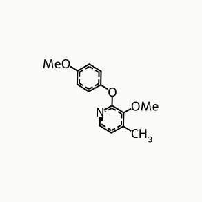 COc1ccc(Oc2nccc(C)c2OC)cc1